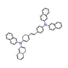 C1=CC2=CC(N(C3=CC=C(/C=C/c4ccc(N(c5ccc6ccccc6c5)c5ccc6ccccc6c5)cc4)CC3)c3ccc4ccccc4c3)=CCC2C=C1